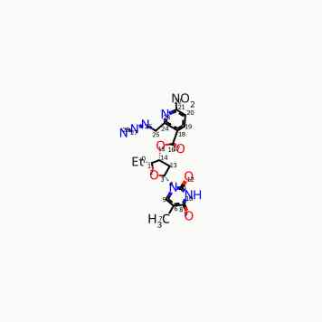 CC[C@H]1O[C@@H](n2cc(C)c(=O)[nH]c2=O)C[C@H]1OC(=O)c1ccc([N+](=O)[O-])nc1CN=[N+]=[N-]